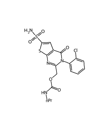 CCCNC(=O)OCc1nc2sc(S(N)(=O)=O)cc2c(=O)n1-c1ccccc1Cl